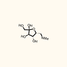 CNC[C@H]1O[C@@](O)(CO)[C@H](O)[C@H]1O